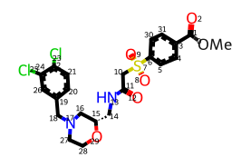 COC(=O)c1ccc(S(=O)(=O)CC(=O)NC[C@H]2CN(Cc3ccc(Cl)c(Cl)c3)CCO2)cc1